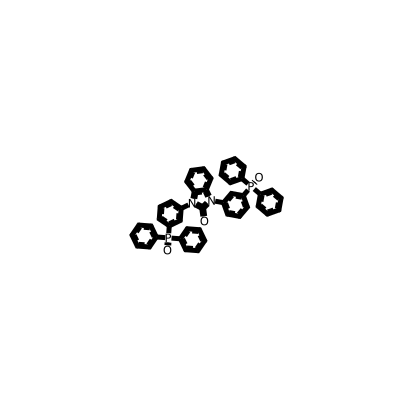 O=c1n(-c2cccc(P(=O)(c3ccccc3)c3ccccc3)c2)c2ccccc2n1-c1cccc(P(=O)(c2ccccc2)c2ccccc2)c1